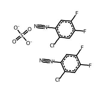 N#[N+]c1cc(F)c(F)cc1Cl.N#[N+]c1cc(F)c(F)cc1Cl.O=S(=O)([O-])[O-]